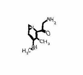 CBC1=CC2CN2C(C(=O)CN)=C1C